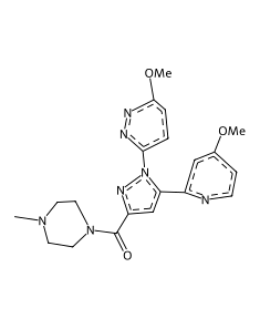 COc1ccnc(-c2cc(C(=O)N3CCN(C)CC3)nn2-c2ccc(OC)nn2)c1